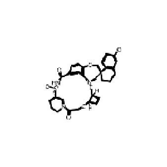 O=C1N[S@+]([O-])[C@H]2CCCN(C2)C(=O)CC[C@@H]2CC[C@H]2CN2C[C@@]3(CCCc4cc(Cl)ccc43)COc3ccc1cc32